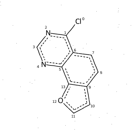 Clc1ncnc2c1ccc1ccoc12